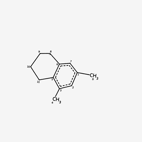 Cc1cc(C)c2c(c1)[C]CCC2